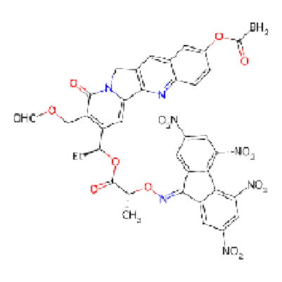 BC(=O)Oc1ccc2nc3c(cc2c1)Cn1c-3cc([C@H](CC)OC(=O)[C@@H](C)ON=C2c3cc([N+](=O)[O-])cc([N+](=O)[O-])c3-c3c2cc([N+](=O)[O-])cc3[N+](=O)[O-])c(COC=O)c1=O